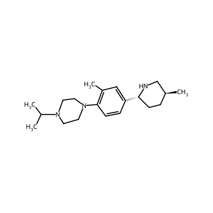 Cc1cc([C@H]2CC[C@H](C)CN2)ccc1N1CCN(C(C)C)CC1